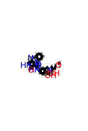 COCCC(C)(C)N1Cc2cc(Nc3nn([C@H]4CCCC[C@@H]4C#N)c4cc[nH]c(=O)c34)ccc2S1(O)O